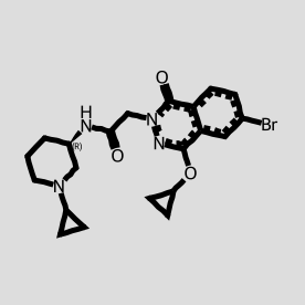 O=C(Cn1nc(OC2CC2)c2cc(Br)ccc2c1=O)N[C@@H]1CCCN(C2CC2)C1